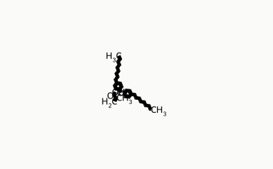 C=C(C)C(=O)O.CCCCCCCCCc1ccc(Oc2ccc(CCCCCCCCC)cc2)cc1